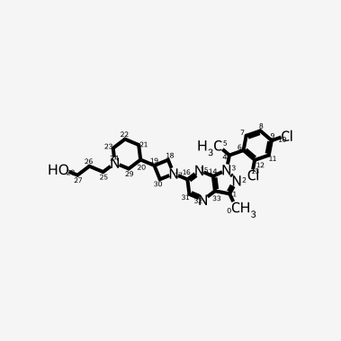 Cc1nn(C(C)c2ccc(Cl)cc2Cl)c2nc(N3CC(C4CCCN(CCCO)C4)C3)cnc12